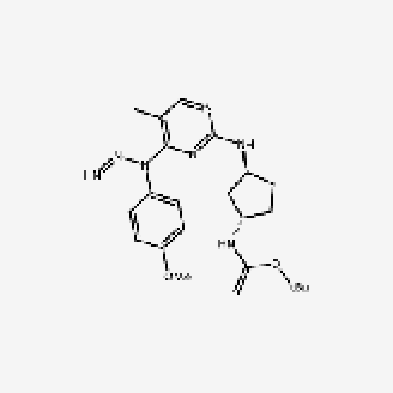 C=C(N[C@H]1CC[C@H](Nc2ncc(C)c(N(N=N)c3ccc(OC)cc3)n2)C1)OC(C)(C)C